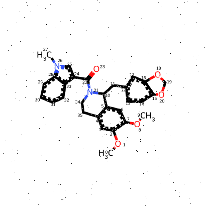 COc1cc2c(cc1OC)C(Cc1ccc3c(c1)OCO3)N(C(=O)c1cn(C)c3ccccc13)CC2